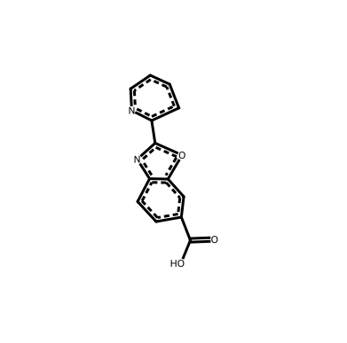 O=C(O)c1ccc2nc(-c3ccccn3)oc2c1